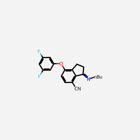 CCCC/N=C1\CCc2c(Oc3cc(F)cc(F)c3)ccc(C#N)c21